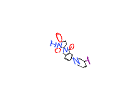 O=C1CCC(N2Cc3ccc(N4CCCC(I)C4)cc3C2=O)C(=O)N1